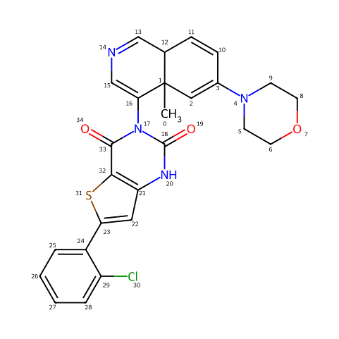 CC12C=C(N3CCOCC3)C=CC1C=NC=C2n1c(=O)[nH]c2cc(-c3ccccc3Cl)sc2c1=O